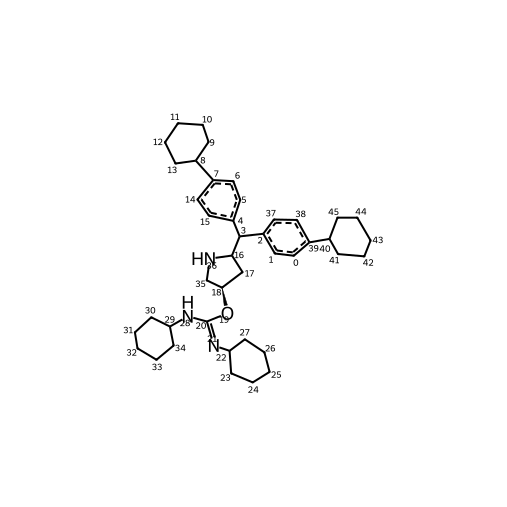 c1cc(C(c2ccc(C3CCCCC3)cc2)C2C[C@@H](O/C(=N\C3CCCCC3)NC3CCCCC3)CN2)ccc1C1CCCCC1